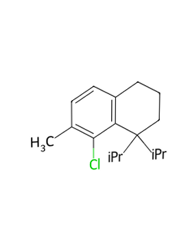 Cc1ccc2c(c1Cl)C(C(C)C)(C(C)C)CCC2